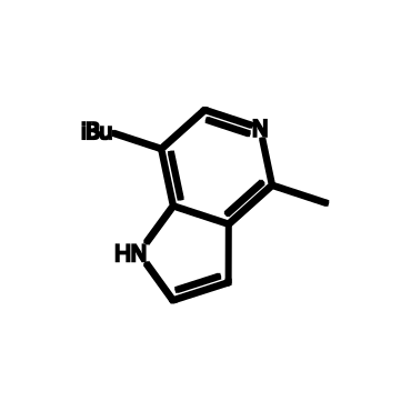 CCC(C)c1cnc(C)c2cc[nH]c12